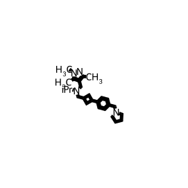 Cc1nn(C)c(C)c1CN(CC1CC(c2ccc(CN3CCCC3)cc2)C1)C(C)C